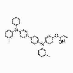 C=CC(O)Oc1ccc(N(c2ccc(-c3ccc(N(c4ccccc4)c4cccc(C)c4)cc3)cc2)c2cccc(C)c2)cc1